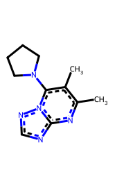 Cc1nc2ncnn2c(N2CCCC2)c1C